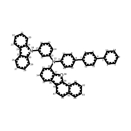 c1ccc(-c2ccc(-c3ccc(N(c4cccc(-n5c6ccccc6c6ccccc65)c4)c4cccc5c4oc4c6ccccc6ccc54)cc3)cc2)cc1